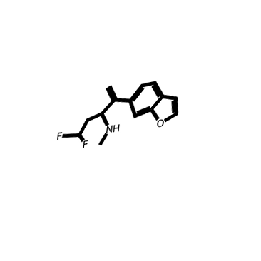 C=C(c1ccc2ccoc2c1)C(CC(F)F)NC